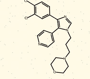 Clc1ccc(-c2ncn(CCCN3CCOCC3)c2-c2ccncc2)cc1Cl